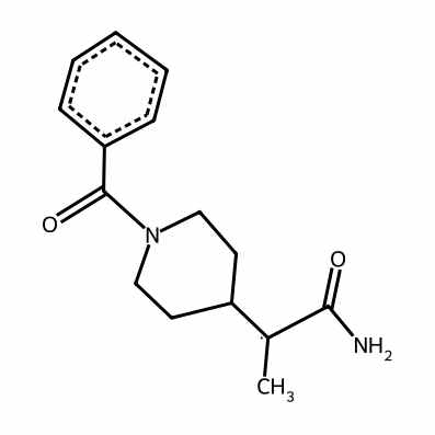 C[C](C(N)=O)C1CCN(C(=O)c2ccccc2)CC1